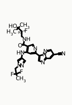 CC(F)(F)Cn1cc(Nc2cc(-c3cnc4cc(C#N)cnn34)ncc2C(=O)NC[C@@H](F)C(C)(C)O)cn1